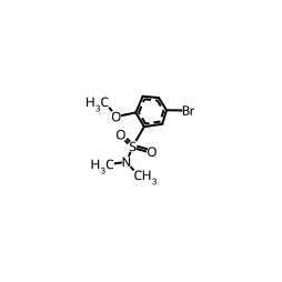 COc1ccc(Br)cc1S(=O)(=O)N(C)C